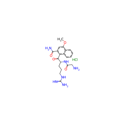 COc1cc(C(N)=O)c(C(=O)C(CCCNC(=N)N)NC(=O)CN)c2ccccc12.Cl